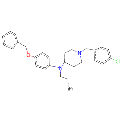 CC(C)CCN(c1ccc(OCc2ccccc2)cc1)C1CCN(Cc2ccc(Cl)cc2)CC1